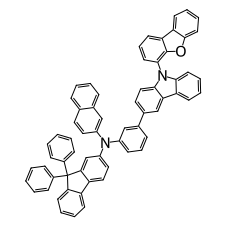 c1ccc(C2(c3ccccc3)c3ccccc3-c3ccc(N(c4cccc(-c5ccc6c(c5)c5ccccc5n6-c5cccc6c5oc5ccccc56)c4)c4ccc5ccccc5c4)cc32)cc1